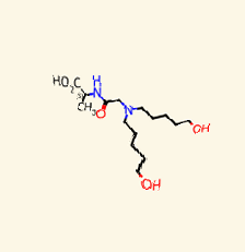 C[C@H](NC(=O)CN(CCCCCO)CCCCCO)C(=O)O